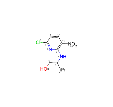 CC(C)C(CO)Nc1nc(Cl)ccc1[N+](=O)[O-]